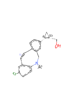 CC(=O)N1Cc2cc([C@@H]3C[C@@H]3CO)ccc2/C=C\c2cc(Cl)ccc21